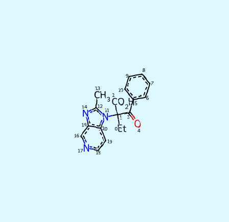 CCC(C(=O)O)(C(=O)c1ccccc1)n1c(C)nc2cnccc21